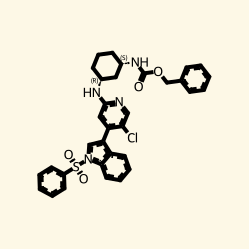 O=C(N[C@H]1CCC[C@@H](Nc2cc(-c3cn(S(=O)(=O)c4ccccc4)c4ccccc34)c(Cl)cn2)C1)OCc1ccccc1